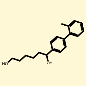 OCCCCCC(O)c1ccc(-c2ccccc2I)cc1